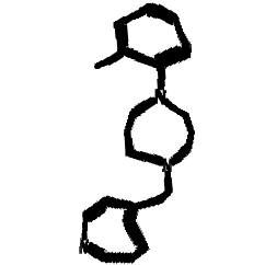 Cc1ccccc1N1CCN(Cc2ccncc2)CC1